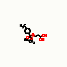 CC(C)=O.Cc1ccc(S(=O)(=O)OCCC(O)O)cc1